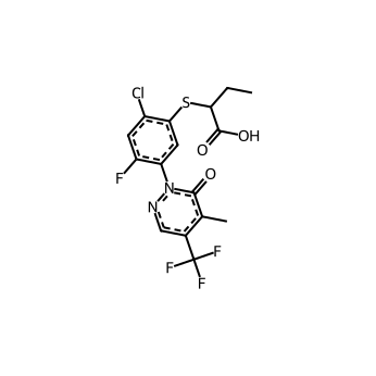 CCC(Sc1cc(-n2ncc(C(F)(F)F)c(C)c2=O)c(F)cc1Cl)C(=O)O